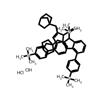 C[Si](C)(C)c1ccc(-c2cccc3c2C=C(CC24CCC(CC2)C4)[CH]3[Zr]([CH3])([CH3])(=[SiH2])[CH]2C(CC34CCC(CC3)C4)=Cc3c(-c4ccc([Si](C)(C)C)cc4)cccc32)cc1.Cl.Cl